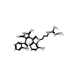 NC(=N[N+](=O)[O-])NCCCn1cc(C2=C(c3c[nH]c4ccccc34)C(=O)NC2=O)c2cccc(O)c21